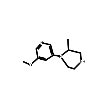 COc1cncc(N2CCNCC2C)c1